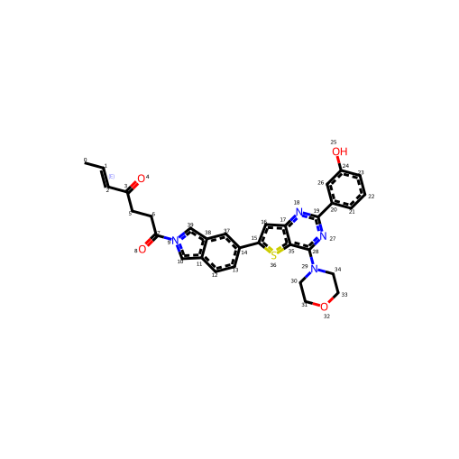 C/C=C/C(=O)CCC(=O)n1cc2ccc(-c3cc4nc(-c5cccc(O)c5)nc(N5CCOCC5)c4s3)cc2c1